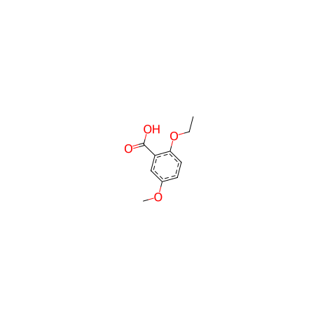 CCOc1ccc(OC)cc1C(=O)O